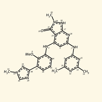 COc1c(Nc2cc(Nc3cc(C)nc(C)n3)nc3[nH]n(C)c(=O)c23)cccc1-c1ncn(C)n1